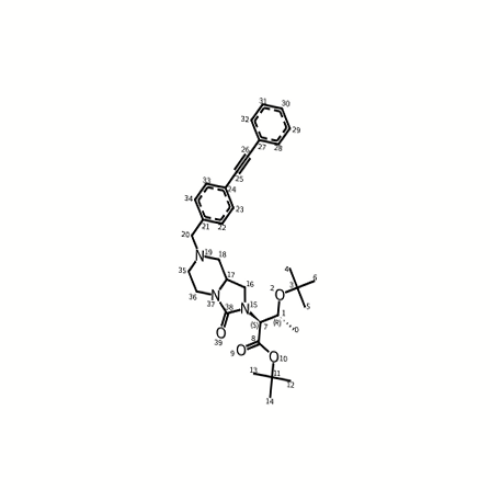 C[C@@H](OC(C)(C)C)[C@@H](C(=O)OC(C)(C)C)N1CC2CN(Cc3ccc(C#Cc4ccccc4)cc3)CCN2C1=O